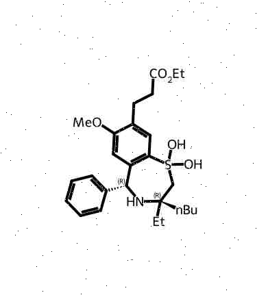 CCCC[C@]1(CC)CS(O)(O)c2cc(CCC(=O)OCC)c(OC)cc2[C@@H](c2ccccc2)N1